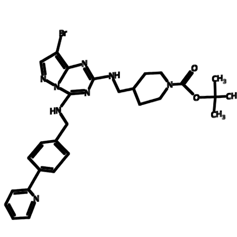 CC(C)(C)OC(=O)N1CCC(CNc2nc(NCc3ccc(-c4ccccn4)cc3)n3ncc(Br)c3n2)CC1